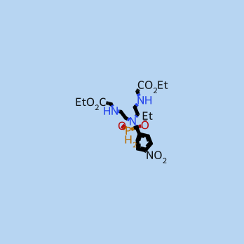 CCOC(=O)CNCCN(CCNCC(=O)OCC)C(OCC)([PH2]=O)c1ccc([N+](=O)[O-])cc1